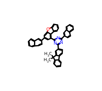 CC1(C)c2ccccc2-c2ccc(-c3nc(-c4ccc5ccccc5c4)nc(-c4cc(-c5ccc6ccccc6c5)cc5oc6ccccc6c45)n3)cc21